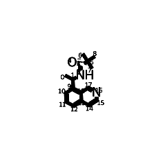 CC(N[S+]([O-])C(C)(C)C)c1cccc2ccncc12